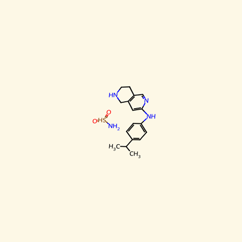 CC(C)c1ccc(Nc2cc3c(cn2)CCNC3)cc1.N[SH](=O)=O